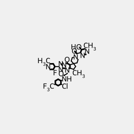 Cc1cc(-c2nc3n(CC(=O)Nc4ccc(C(F)(F)F)cc4Cl)c4c(c(=O)n3n2)C2(CCN(C(=O)c3ncnc(C)c3O)CC2)CC4C)c(F)cn1